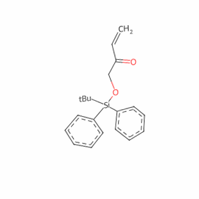 C=CC(=O)CO[Si](c1ccccc1)(c1ccccc1)C(C)(C)C